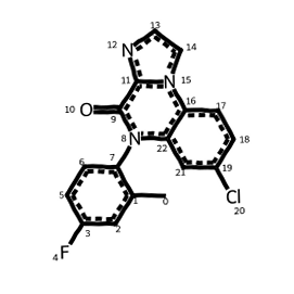 Cc1cc(F)ccc1-n1c(=O)c2nccn2c2ccc(Cl)cc21